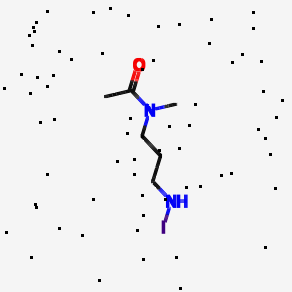 CC(=O)N(C)CCCNI